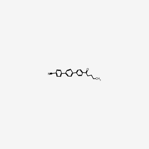 CCCCC(=O)c1ccc(-c2ccc(-c3ccc(C#N)cc3)cc2)cc1